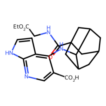 CCOC(=O)CNC(=O)C12CC3CC(C1)C(Nc1c(C(=O)O)cnc4[nH]ccc14)C(C3)C2